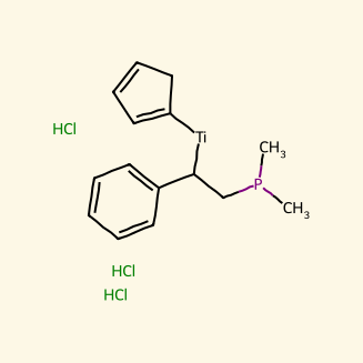 CP(C)C[CH]([Ti][C]1=CC=CC1)c1ccccc1.Cl.Cl.Cl